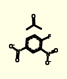 CC(C)=O.O=[N+]([O-])c1ccc(F)c([N+](=O)[O-])c1